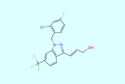 OC/C=C/c1nn(Cc2ccc(F)cc2Cl)c2cc(C(F)(F)F)ccc12